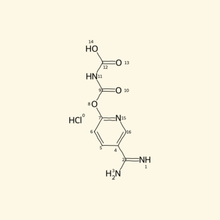 Cl.N=C(N)c1ccc(OC(=O)NC(=O)O)nc1